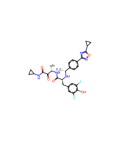 CCC[C@H](NC(=O)[C@H](Cc1cc(F)c(O)c(F)c1)N[C@@H](c1ccc(-c2noc(C3CC3)n2)cc1)C(F)(F)F)C(=O)C(=O)NC1CC1